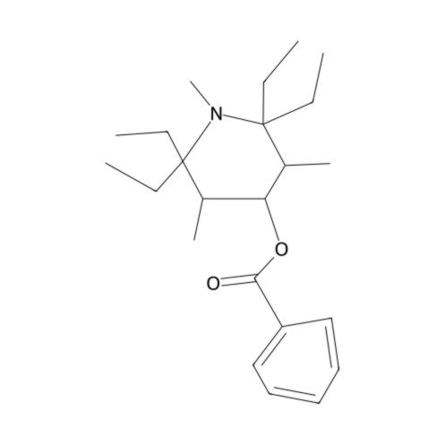 CCC1(CC)C(C)C(OC(=O)c2ccccc2)C(C)C(CC)(CC)N1C